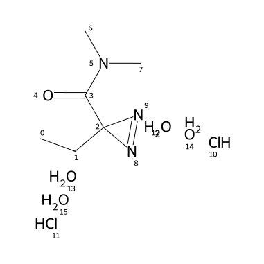 CCC1(C(=O)N(C)C)N=N1.Cl.Cl.O.O.O.O